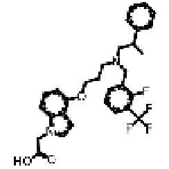 CC(CN(CCCOc1cccc2c1ccn2CC(=O)O)Cc1cccc(C(F)(F)F)c1F)c1ccccc1